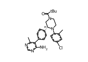 Cc1cc(Cl)ccc1N1CCN(C(=O)C(C)(C)C)C[C@H]1c1ccc(-c2c(C)ncnc2N)cc1